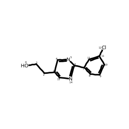 OCCc1cnc(-c2cccc(Cl)c2)nc1